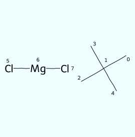 CC(C)(C)C.[Cl][Mg][Cl]